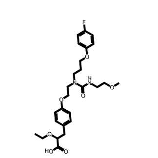 CCOC(Cc1ccc(OCCN(CCCOc2ccc(F)cc2)C(=O)NCCOC)cc1)C(=O)O